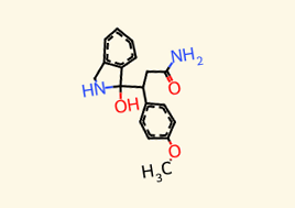 COc1ccc(C(CC(N)=O)C2(O)NCc3ccccc32)cc1